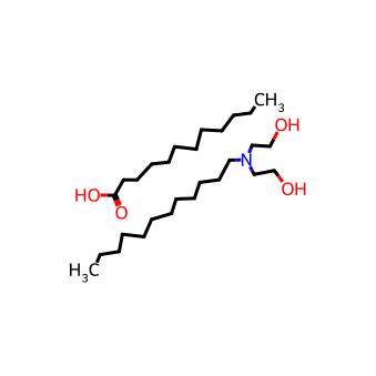 CCCCCCCCCCCC(=O)O.CCCCCCCCCCCCN(CCO)CCO